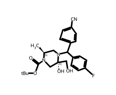 C[C@H]1CN(C(c2ccc(F)cc2)c2ccc(C#N)cc2)[C@@](O)(CO)CN1C(=O)OC(C)(C)C